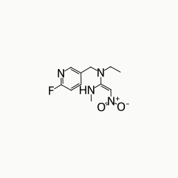 CCN(Cc1ccc(F)nc1)/C(=C/[N+](=O)[O-])NC